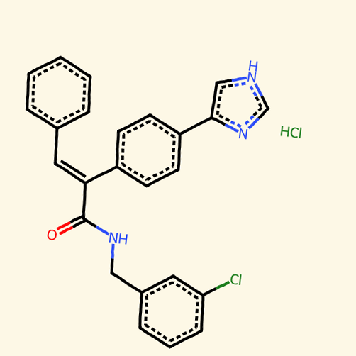 Cl.O=C(NCc1cccc(Cl)c1)C(=Cc1ccccc1)c1ccc(-c2c[nH]cn2)cc1